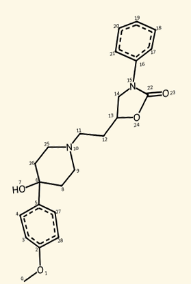 COc1ccc(C2(O)CCN(CCC3CN(c4ccccc4)C(=O)O3)CC2)cc1